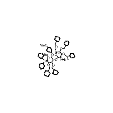 COc1ccc(OCC(OC2O[C@H](COCc3ccccc3)[C@@H](OCc3ccccc3)[C@H](OCc3ccccc3)[C@H]2N=[N+]=[N-])C(OCc2ccccc2)C(OCc2ccccc2)C(OC(C)(C)C)[SiH](c2ccccc2)c2ccccc2)cc1